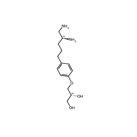 NC[C@@H](N)CCCc1ccc(OC[C@H](O)CO)cc1